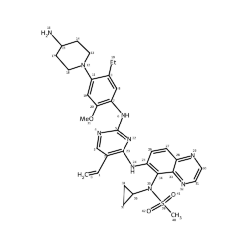 C=Cc1cnc(Nc2cc(CC)c(N3CCC(N)CC3)cc2OC)nc1Nc1ccc2nccnc2c1N(C1CC1)S(C)(=O)=O